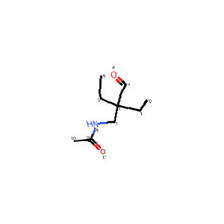 CCC(C=O)(CC)CNC(C)=O